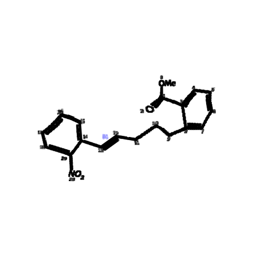 COC(=O)c1ccccc1CCC/C=C/c1ccccc1[N+](=O)[O-]